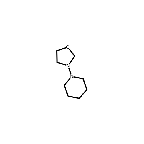 C1CCN(N2CCOC2)CC1